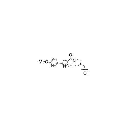 COc1ccc(-c2cc(C(=O)N3CCC(CC(C)(C)O)CC3)[nH]n2)cn1